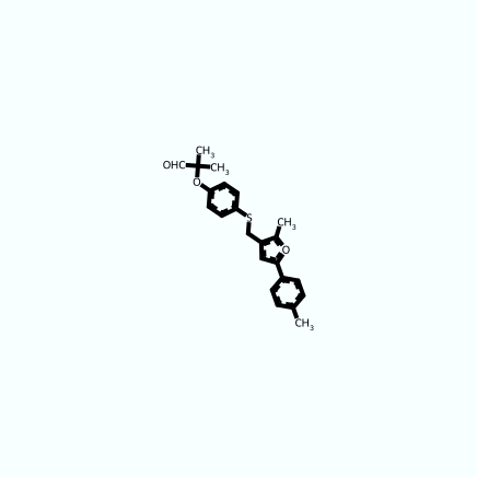 Cc1ccc(-c2cc(CSc3ccc(OC(C)(C)C=O)cc3)c(C)o2)cc1